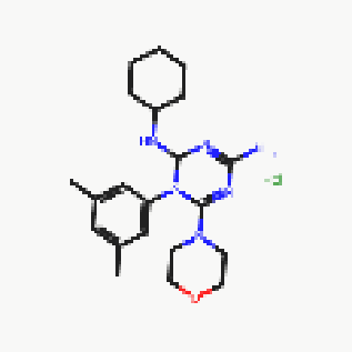 Cc1cc(C)cc(N2C(N3CCOCC3)=NC(N)=NC2NC2CCCCC2)c1.Cl